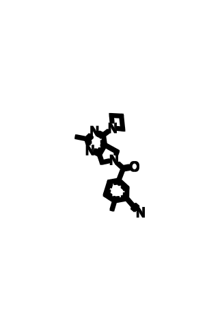 Cc1nc2c(c(N3CCC3)n1)CN(C(=O)c1ccc(C)c(C#N)c1)C2